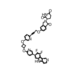 O=C1CCC(N2Cc3cc(OCC#Cc4ccc(OC5CC(Oc6ccc(-c7cc8[nH]c9ccncc9c8c(F)c7F)cn6)C5)cn4)ccc3C2=O)C(=O)N1